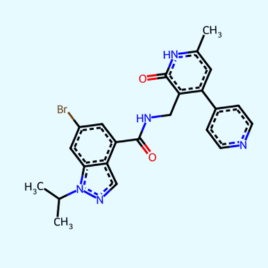 Cc1cc(-c2ccncc2)c(CNC(=O)c2cc(Br)cc3c2cnn3C(C)C)c(=O)[nH]1